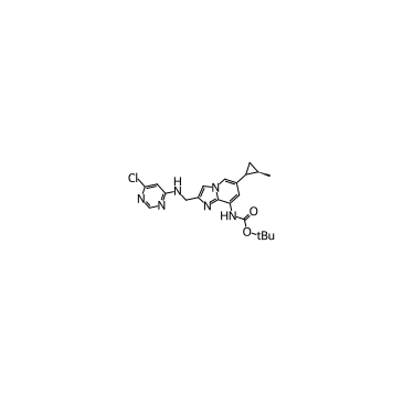 C[C@@H]1CC1c1cc(NC(=O)OC(C)(C)C)c2nc(CNc3cc(Cl)ncn3)cn2c1